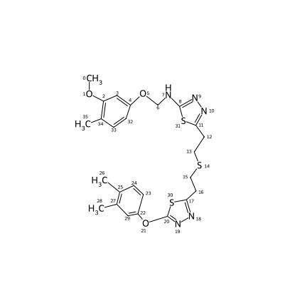 COc1cc(OCNc2nnc(CCSCCc3nnc(Oc4ccc(C)c(C)c4)s3)s2)ccc1C